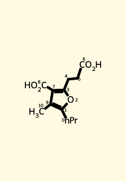 CCCc1oc(CCC(=O)O)c(C(=O)O)c1C